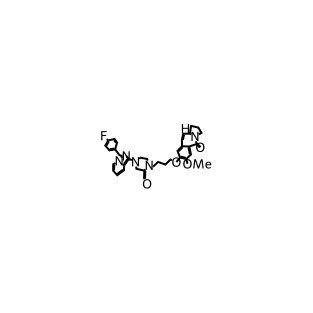 COc1cc2c(cc1OCCCCN1CCN(c3nc(-c4ccc(F)cc4)n4ccccc34)CC1=C=O)C=C[C@@H]1CCCN1C2=O